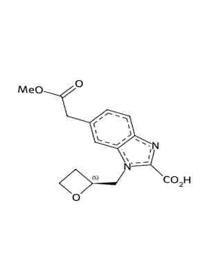 COC(=O)Cc1ccc2nc(C(=O)O)n(C[C@@H]3CCO3)c2c1